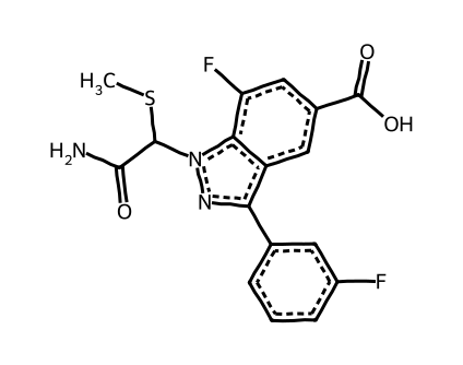 CSC(C(N)=O)n1nc(-c2cccc(F)c2)c2cc(C(=O)O)cc(F)c21